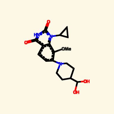 COc1c(N2CCC(C(O)O)CC2)ccc2c(=O)[nH]c(=O)n(C3CC3)c12